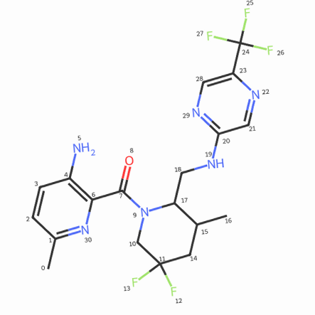 Cc1ccc(N)c(C(=O)N2CC(F)(F)CC(C)C2CNc2cnc(C(F)(F)F)cn2)n1